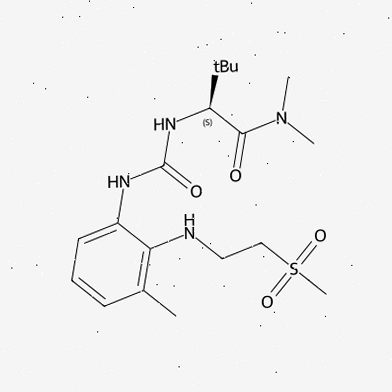 Cc1cccc(NC(=O)N[C@H](C(=O)N(C)C)C(C)(C)C)c1NCCS(C)(=O)=O